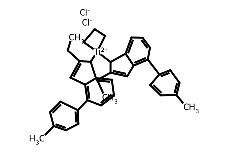 CCC1=Cc2c(-c3ccc(C)cc3)cccc2[CH]1[Ti+2]1([CH]2C(CC)=Cc3c(-c4ccc(C)cc4)cccc32)[CH2]C[CH2]1.[Cl-].[Cl-]